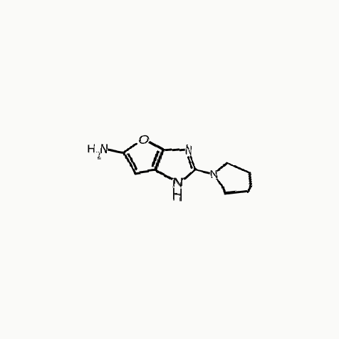 Nc1cc2[nH]c(N3CCCC3)nc2o1